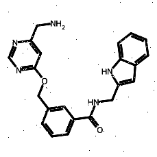 NCc1cc(OCc2cccc(C(=O)NCc3cc4ccccc4[nH]3)c2)ncn1